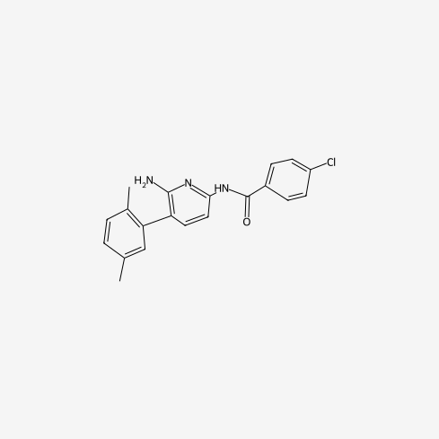 Cc1ccc(C)c(-c2ccc(NC(=O)c3ccc(Cl)cc3)nc2N)c1